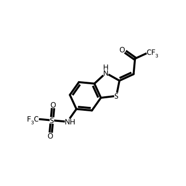 O=C(/C=C1\Nc2ccc(NS(=O)(=O)C(F)(F)F)cc2S1)C(F)(F)F